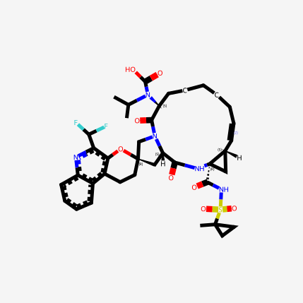 CC(C)N(C(=O)O)[C@H]1CCCCC/C=C\[C@@H]2C[C@@]2(C(=O)NS(=O)(=O)C2(C)CC2)NC(=O)[C@@H]2C[C@]3(CCc4c(c(C(F)F)nc5ccccc45)O3)CN2C1=O